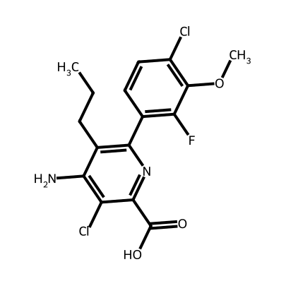 CCCc1c(-c2ccc(Cl)c(OC)c2F)nc(C(=O)O)c(Cl)c1N